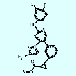 CC(C)(C)OC(=O)C1CC1c1cccc(-c2cnc(Nc3ccc(F)c(Cl)c3)nc2-n2ccc(C(F)(F)F)n2)c1